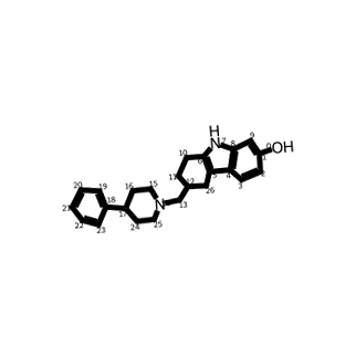 Oc1ccc2c3c([nH]c2c1)CCC(CN1CCC(c2ccccc2)CC1)C3